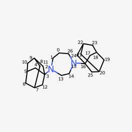 C1CN(C23CC4CC(CC(C4)C2)C3)CCN(C23CC4CC(CC(C4)C2)C3)C1